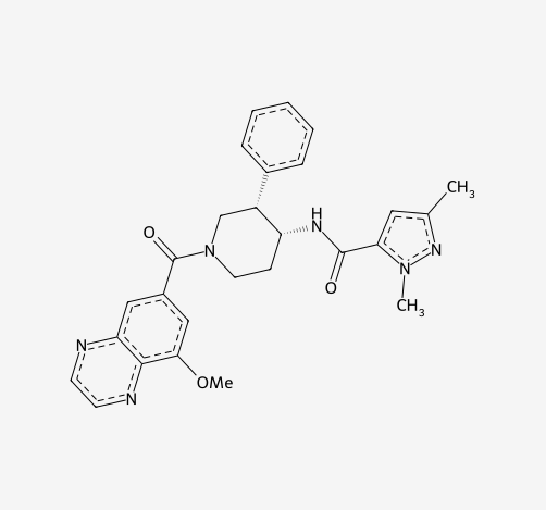 COc1cc(C(=O)N2CC[C@@H](NC(=O)c3cc(C)nn3C)[C@@H](c3ccccc3)C2)cc2nccnc12